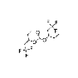 CCC(CC(F)(F)F)OC(=O)OC(CC)CC(F)(F)F